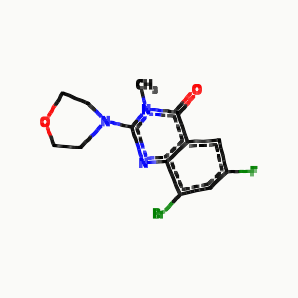 Cn1c(N2CCOCC2)nc2c(Br)cc(F)cc2c1=O